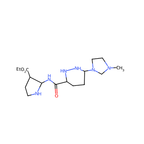 CCOC(=O)C1CCNC1NC(=O)C1CCC(N2CCN(C)C2)NN1